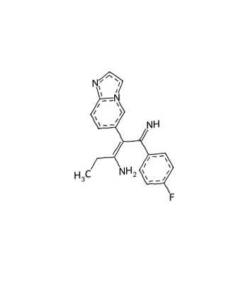 CC/C(N)=C(/C(=N)c1ccc(F)cc1)c1ccc2nccn2c1